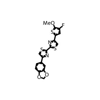 COc1sc(-c2csc(-c3nc(-c4ccc5c(c4)OCO5)cs3)n2)cc1F